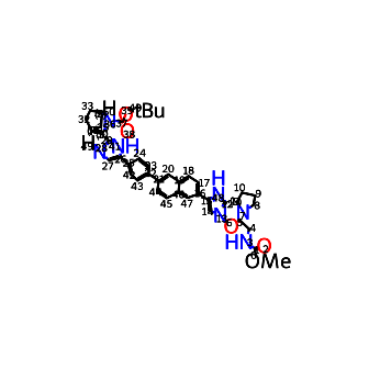 COC(=O)NCC(=O)N1CCC[C@H]1c1ncc(-c2ccc3cc(-c4ccc(-c5cnc([C@@H]6[C@@H]7CC[C@@H](C7)N6C(=O)OC(C)(C)C)[nH]5)cc4)ccc3c2)[nH]1